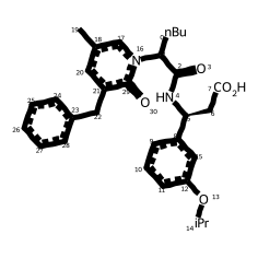 CCCCC(C(=O)N[C@@H](CC(=O)O)c1cccc(OC(C)C)c1)n1cc(C)cc(Cc2ccccc2)c1=O